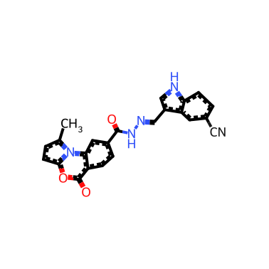 Cc1ccc2oc(=O)c3ccc(C(=O)N/N=C/c4c[nH]c5ccc(C#N)cc45)cc3n12